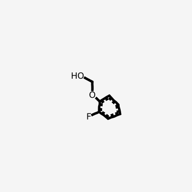 OCOc1ccccc1F